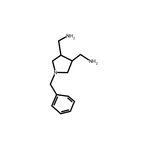 NCC1CN(Cc2ccccc2)CC1CN